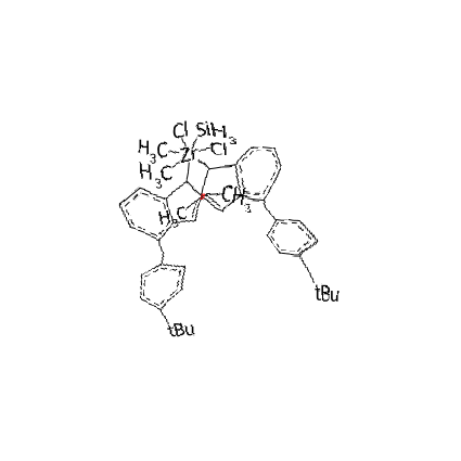 CC1=Cc2c(-c3ccc(C(C)(C)C)cc3)cccc2[CH]1[Zr]([CH3])([CH3])([SiH3])([Cl])([Cl])[CH]1C(C)=Cc2c(-c3ccc(C(C)(C)C)cc3)cccc21